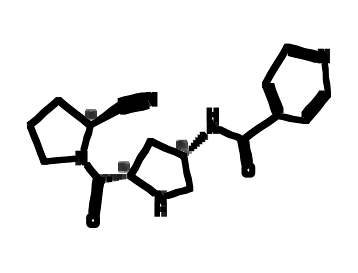 N#C[C@@H]1CCCN1C(=O)[C@@H]1C[C@H](NC(=O)c2ccncc2)CN1